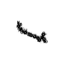 COc1cc(OC2C(C)(C)C(NC(=O)c3ccc(N4CCC5(CC4)CCN(c4ccc(-c6cc7cccc(-c8nn(C9CCOCC9)c9c8CN(C(C)=O)CC9)c7cn6)cn4)CC5)cc3)C2(C)C)ccc1C#N